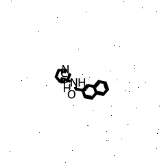 O=C(N[C@H]1CN2CCC1CC2)c1ccc2ccccc2c1